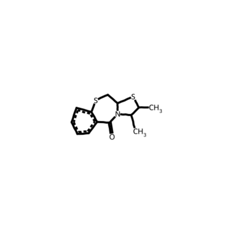 CC1SC2CSc3ccccc3C(=O)N2C1C